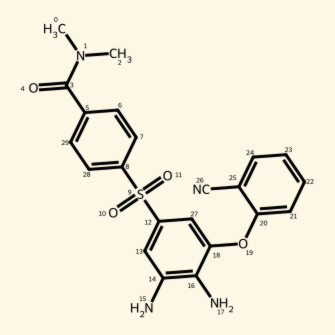 CN(C)C(=O)c1ccc(S(=O)(=O)c2cc(N)c(N)c(Oc3ccccc3C#N)c2)cc1